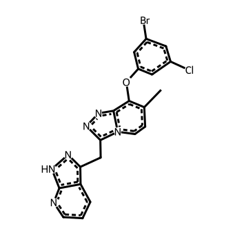 Cc1ccn2c(Cc3n[nH]c4ncccc34)nnc2c1Oc1cc(Cl)cc(Br)c1